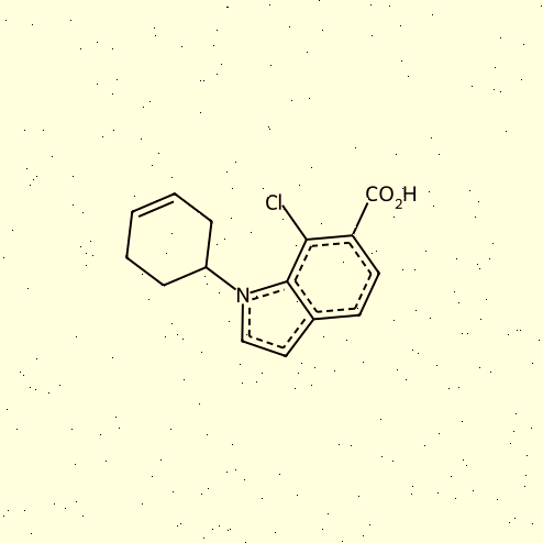 O=C(O)c1ccc2ccn(C3CC=CCC3)c2c1Cl